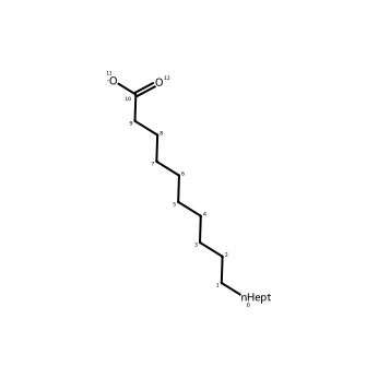 CCCCCCCCCCCCCCCCC([O])=O